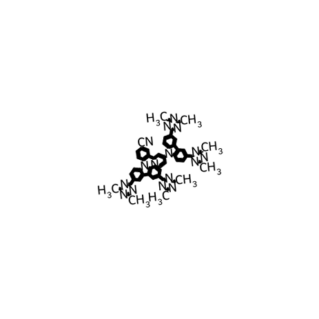 Cc1nc(C)nc(-c2ccc3c(c2)c2cc(-c4nc(C)nc(C)n4)ccc2n3-c2ccnc(-c3cc(C#N)ccc3-n3c4ccc(-c5nc(C)nc(C)n5)cc4c4cc(-c5nc(C)nc(C)n5)ccc43)c2)n1